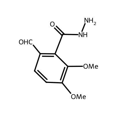 COc1ccc(C=O)c(C(=O)NN)c1OC